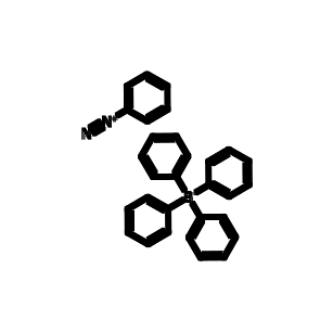 N#[N+]c1ccccc1.c1ccc([B-](c2ccccc2)(c2ccccc2)c2ccccc2)cc1